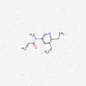 C=CC(=O)N(C)c1cnc(CC)c(C=C)c1